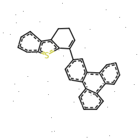 C1=C(c2ccc3c4ccccc4c4ccccc4c3c2)c2sc3ccccc3c2CC1